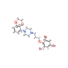 Brc1cc(Br)c(OCCCN2CCN(c3cccc4c3OCCO4)CC2)c(Br)c1